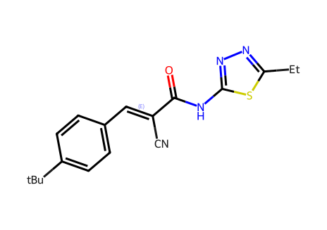 CCc1nnc(NC(=O)/C(C#N)=C/c2ccc(C(C)(C)C)cc2)s1